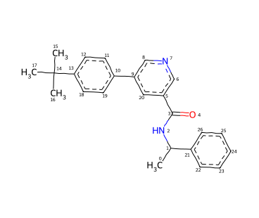 CC(NC(=O)c1cncc(-c2ccc(C(C)(C)C)cc2)c1)c1ccccc1